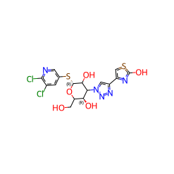 OCC1O[C@H](Sc2cnc(Cl)c(Cl)c2)C(O)C(n2cc(-c3csc(O)n3)nn2)[C@H]1O